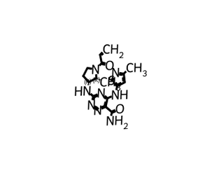 C=CC(=O)N1CC[C@@H](Nc2nnc(C(N)=O)c(Nc3cc(C)ns3)n2)[C@H]1C